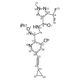 CC(C)ON=C(CNC(=O)c1cn(C)nc1C(F)F)c1ncc(C#CC2CC2)cc1Cl